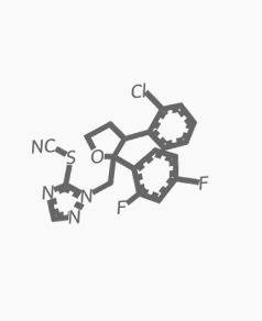 N#CSc1ncnn1CC1(c2ccc(F)cc2F)OCCC1c1ccccc1Cl